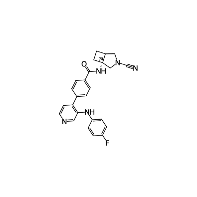 N#CN1CC2CC[C@]2(NC(=O)c2ccc(-c3ccncc3Nc3ccc(F)cc3)cc2)C1